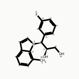 Cc1cccc2ccn([C@@H](c3cccc(F)c3)[C@H](O)CO)c12